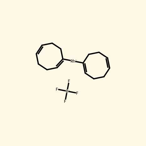 C1=CCC[C]([Rh-][C]2=CCCC=CCC2)=CCC1.F[B-](F)(F)F